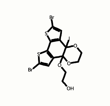 OCCOC12OCCOC1(I)c1cc(Br)sc1-c1sc(Br)cc12